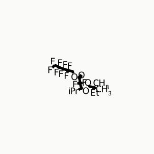 CCC(C)(C)C(=O)OC(C(C)C)C(F)(F)C(=O)OCC(F)(F)C(F)(F)C(F)(F)C(F)F